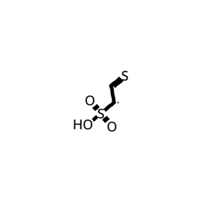 O=S(=O)(O)[CH]C=S